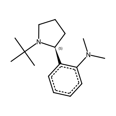 CN(C)c1ccccc1[C@@H]1CCCN1C(C)(C)C